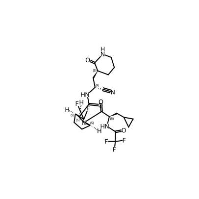 N#C[C@@H](C[C@@H]1CCCNC1=O)NC(=O)[C@@H]1[C@@H]2CC[C@@H](CC2(F)F)N1C(=O)[C@@H](CC1CC1)NC(=O)C(F)(F)F